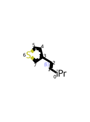 CC(C)/C=C/c1ccsc1